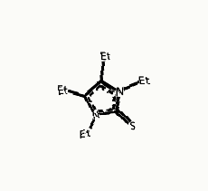 CCc1c(CC)n(CC)c(=S)n1CC